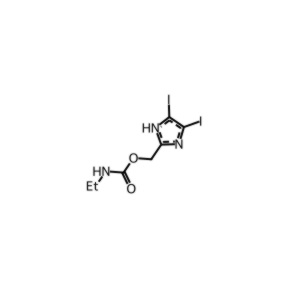 CCNC(=O)OCc1nc(I)c(I)[nH]1